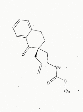 C=CC[C@]1(CCNC(=O)OC(C)(C)C)CCc2ccccc2C1=O